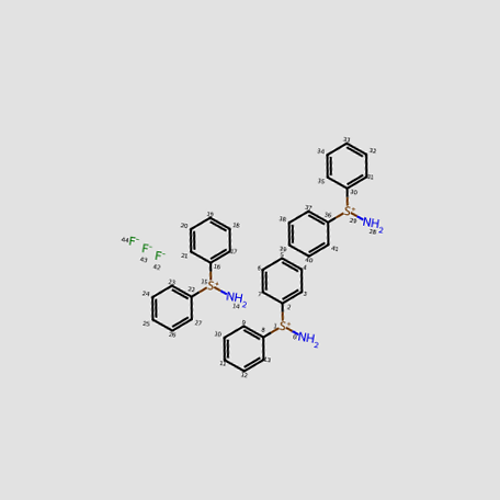 N[S+](c1ccccc1)c1ccccc1.N[S+](c1ccccc1)c1ccccc1.N[S+](c1ccccc1)c1ccccc1.[F-].[F-].[F-]